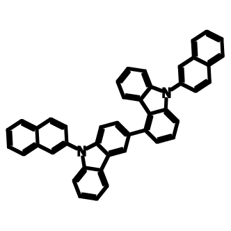 c1ccc2cc(-n3c4ccccc4c4cc(-c5cccc6c5c5ccccc5n6-c5ccc6ccccc6c5)ccc43)ccc2c1